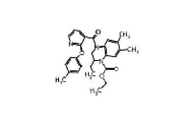 CCOC(=O)N1c2cc(C)c(C)cc2N(C(=O)c2cccnc2Oc2ccc(C)cc2)CC1CC